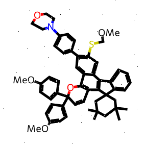 COCSc1cc2c3c(c4c(c2cc1-c1ccc(N2CCOCC2)cc1)OC(c1ccc(OC)cc1)(c1ccc(OC)cc1)C=C4)C1(CC(C)(C)CC(C)(C)C1)c1ccccc1-3